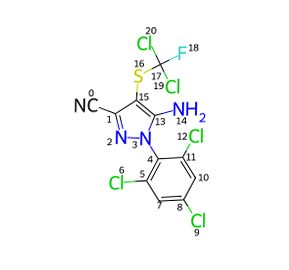 N#Cc1nn(-c2c(Cl)cc(Cl)cc2Cl)c(N)c1SC(F)(Cl)Cl